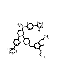 CCOc1cc(CN2CCC(C3CC(N(N)c4ccc(-c5nnn[nH]5)cn4)CCN3c3ccc(-c4nnn[nH]4)cn3)CC2)cc(OCC)c1F